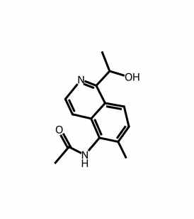 CC(=O)Nc1c(C)ccc2c(C(C)O)nccc12